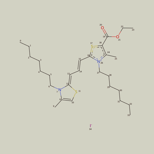 CCCCCCCN1C(C)=CSC1=CC=Cc1sc(C(=O)OCC)c(C)[n+]1CCCCCCC.[I-]